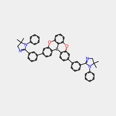 CC1(C)CN=C(c2cccc(-c3ccc4c(c3)Oc3cccc5c3B4c3ccc(-c4cccc(C6=NCC(C)(C)N6c6ccccc6)c4)cc3O5)c2)N1c1ccccc1